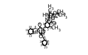 Cc1cc(NC(=O)[C@H](Cc2ccccc2)NC(=O)OCc2ccccc2)cc2nc(NC(C)C(=O)OC(C)(C)C)oc(=O)c12